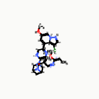 C=C(/C=N\C(=C/C)OC)CN1C2CC1CN(c1cnc(-c3cc(OC)cn4ncc(Cl)c34)cn1)C2